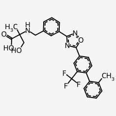 Cc1ccccc1-c1ccc(-c2nc(-c3cccc(CNC(C)(CO)C(=O)O)c3)no2)cc1C(F)(F)F